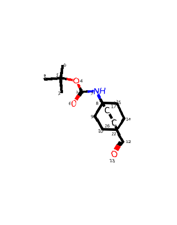 CC(C)(C)OC(=O)NC12CCC(C=O)(CC1)CC2